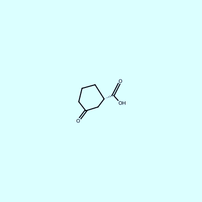 O=C1CCC[C@H](C(=O)O)C1